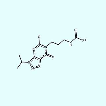 CC(C)n1ncc2c(=O)n(CCCNC(=O)O)c(Cl)nc21